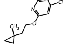 CC1(CCOc2cc(Cl)ncn2)CC1